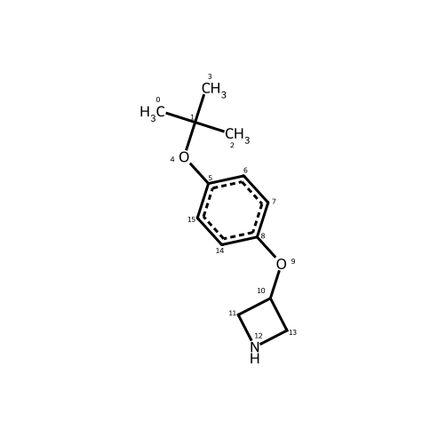 CC(C)(C)Oc1ccc(OC2CNC2)cc1